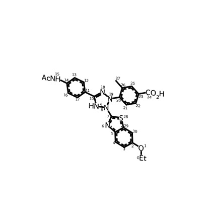 CCOc1ccc2nc(N3NC(c4ccc(NC(C)=O)cc4)=NN3c3ccc(C(=O)O)cc3C)sc2c1